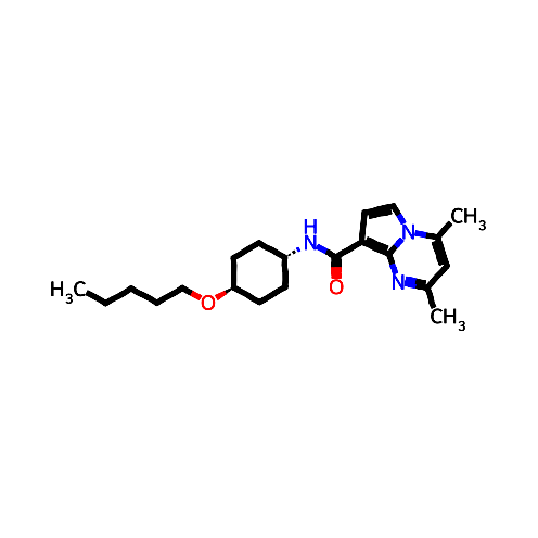 CCCCCO[C@H]1CC[C@H](NC(=O)c2ccn3c(C)cc(C)nc23)CC1